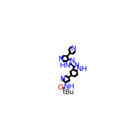 CC(C)(C)C(=O)Nc1cncc(-c2ccc3[nH]nc(-c4nc5c(-c6ccncc6)cncc5[nH]4)c3c2)c1